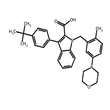 Cc1ccc(N2CCOCC2)cc1Cn1c(C(=O)O)c(-c2ccc(C(C)(C)C)cc2)c2ccccc21